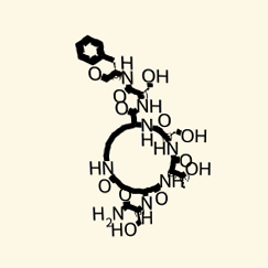 C[C@@H](O)[C@@H]1NC(=O)C(N[C@@H](CO)C(N)=O)CCC(=O)NCCCCC(C(=O)N[C@@H](CO)C(=O)N[C@H](C=O)Cc2ccccc2)NC(=O)[C@H](CO)NC1=O